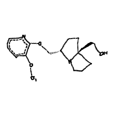 OC[C@@]12CCCN1[C@H](COc1ncccc1OC(F)(F)F)CC2